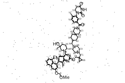 CCc1cccc2cc(OCOC)cc(-c3ncc4c(N5CCC[C@@](C)(O)C5)nc(OCC5(CN6CCN(CC7CCC8(CC7)CCN(C(=O)c7ccc(C)c(N9CCC(=O)NC9=O)c7)CC8)CC6)CC5)nc4c3F)c12